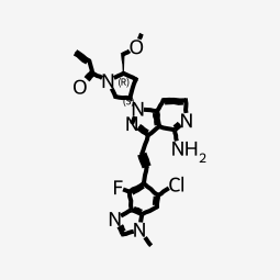 C=CC(=O)N1C[C@@H](n2nc(C#Cc3c(Cl)cc4c(ncn4C)c3F)c3c(N)nccc32)C[C@@H]1COC